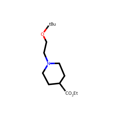 CCOC(=O)C1CCN(CCOC(C)(C)C)CC1